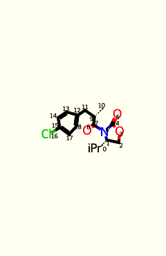 CC(C)[C@H]1COC(=O)N1C(=O)[C@@H](C)Cc1ccc(Cl)cc1